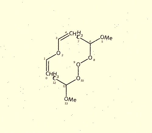 C=COC=C.COC(C)OOOC(C)OC